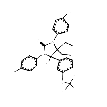 CCC1(CC)N(c2ccc(Cl)cc2)C(=O)N(c2ccc(Cl)cc2)C1(O)c1cccc(OC(F)(F)F)c1